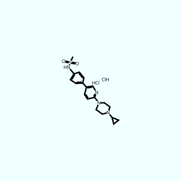 CS(=O)(=O)Nc1ccc(-c2ccc(N3CCN(C4CC4)CC3)nc2)cc1.Cl.Cl